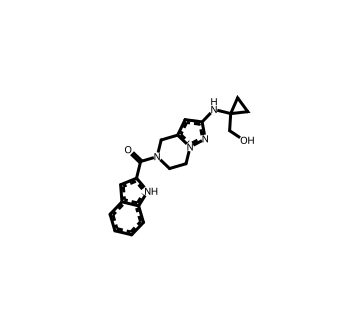 O=C(c1cc2ccccc2[nH]1)N1CCn2nc(NC3(CO)CC3)cc2C1